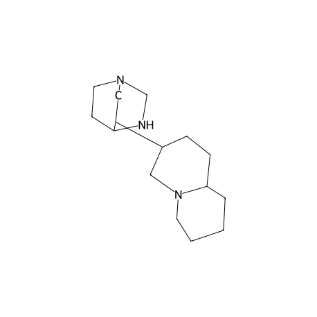 C1CCN2CC(C3CN4CCC3NC4)CCC2C1